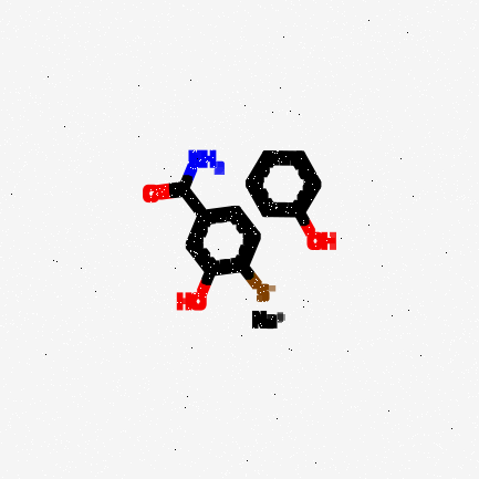 NC(=O)c1ccc([S-])c(O)c1.Oc1ccccc1.[Na+]